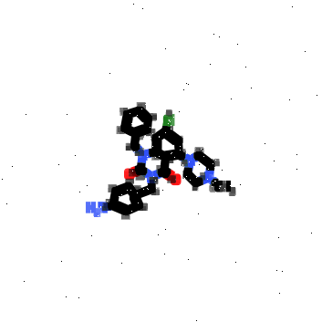 CN1CCN(c2cc(Cl)cc3c2c(=O)n(Cc2ccc(N)cc2)c(=O)n3Cc2ccccc2)CC1